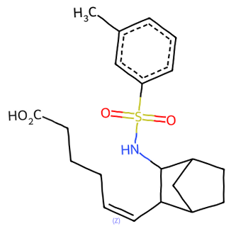 Cc1cccc(S(=O)(=O)NC2C3CCC(C3)C2/C=C\CCCC(=O)O)c1